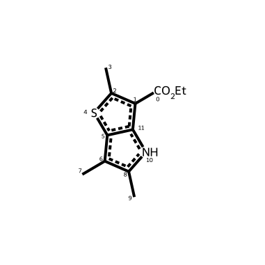 CCOC(=O)c1c(C)sc2c(C)c(C)[nH]c12